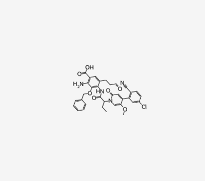 CCC(C(=O)Nc1c(CCC=O)cc(C(=O)O)c(N)c1OCc1ccccc1)n1cc(OC)c(-c2cc(Cl)ccc2C#N)cc1=O